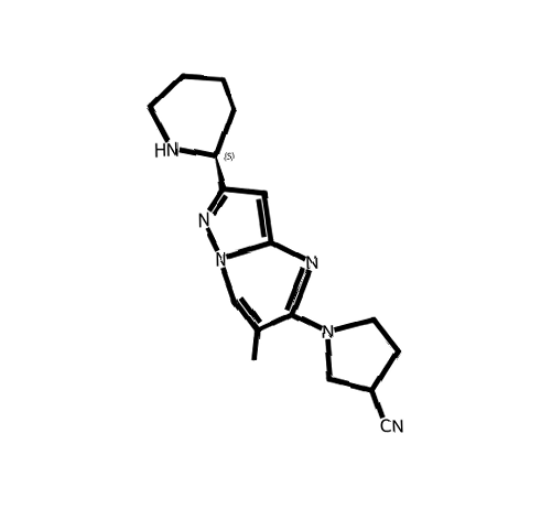 Cc1cn2nc([C@@H]3CCCCN3)cc2nc1N1CCC(C#N)C1